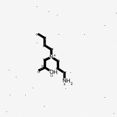 CCCCN(CCCN)CC(C)O